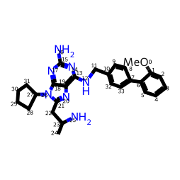 COc1ccccc1-c1ccc(CNc2nc(N)nc3c2nc(CC(C)N)n3C2CCCC2)cc1